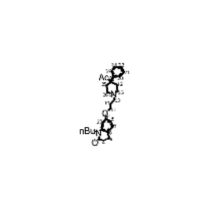 CCCCN1C(=O)CCc2ccc(OCCCN3CCC(C(C)=O)(c4ccccc4)CC3)cc21